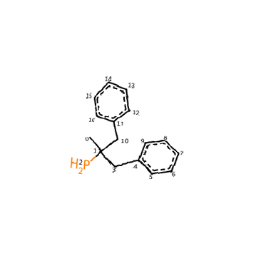 CC(P)(Cc1ccccc1)Cc1ccccc1